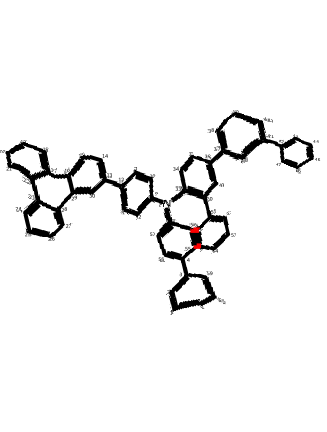 c1ccc(-c2ccc(N(c3ccc(-c4ccc5c6ccccc6c6ccccc6c5c4)cc3)c3ccc(-c4cccc(-c5ccccc5)c4)cc3-c3ccccc3)cc2)cc1